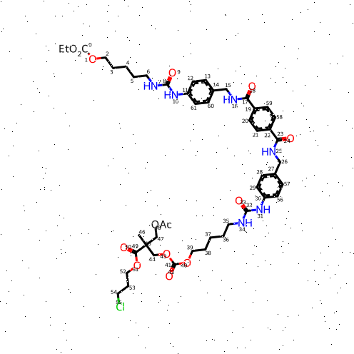 CCOC(=O)OCCCCCNC(=O)Nc1ccc(CNC(=O)c2ccc(C(=O)NCc3ccc(NC(=O)NCCCCCOC(=O)OCC(C)(COC(C)=O)C(=O)OCCCCl)cc3)cc2)cc1